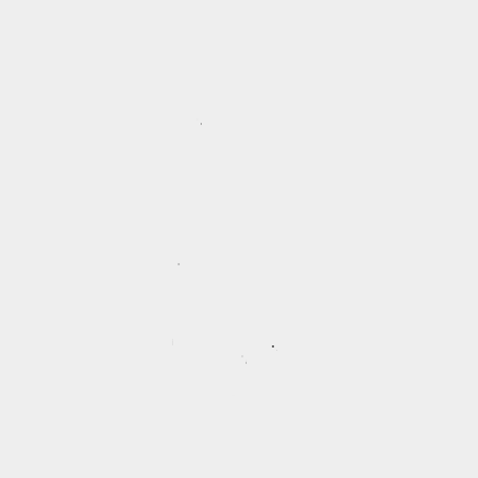 CCCCC1=C(C2=NOCC2)C(C)C(=S(=O)=O)C=C1C(=O)c1cnn(C)c1O